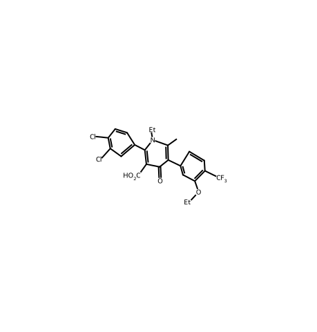 CCOc1cc(-c2c(C)n(CC)c(-c3ccc(Cl)c(Cl)c3)c(C(=O)O)c2=O)ccc1C(F)(F)F